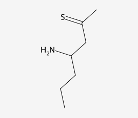 CCCC(N)CC(C)=S